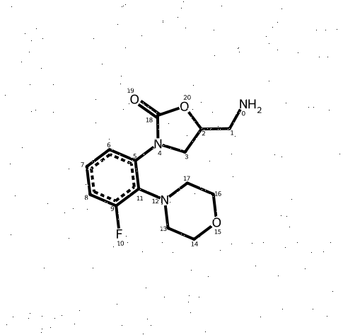 NCC1CN(c2cccc(F)c2N2CCOCC2)C(=O)O1